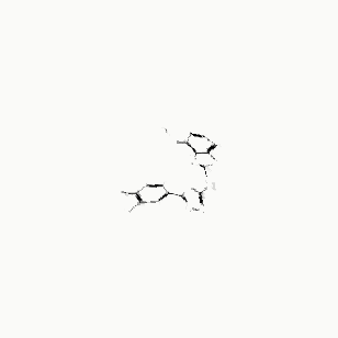 COc1cccc2sc(Nc3nnc(-c4ccc(Cl)c(C)c4)o3)nc12